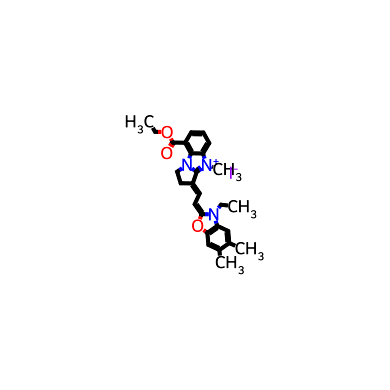 CCOC(=O)c1cccc2c1n1c([n+]2C)C(=CC=C2Oc3cc(C)c(C)cc3N2CC)CC1.[I-]